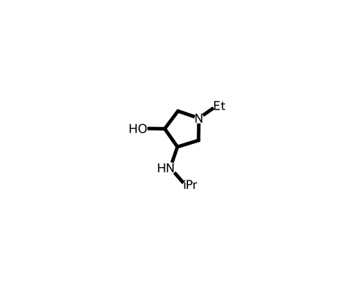 CCN1CC(O)C(NC(C)C)C1